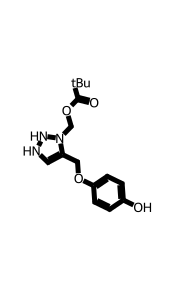 CC(C)(C)C(=O)OCN1NNC=C1COc1ccc(O)cc1